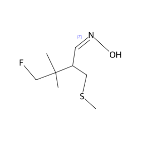 CSCC(/C=N\O)C(C)(C)CF